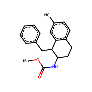 CC(C)(C)OC(=O)NC1CCc2ccc(C#N)cc2C1Cc1ccccc1